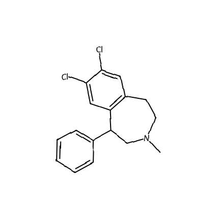 CN1CCc2cc(Cl)c(Cl)cc2C(c2ccccc2)C1